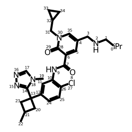 CC(C)CNCc1cc(C(=O)Nc2cc(C3(c4nncn4C)CC(C)C3)ccc2Cl)c(=O)n(CC2CC2)c1